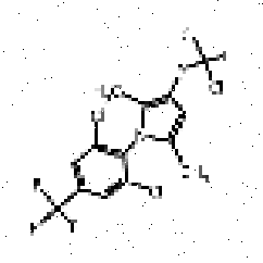 Cc1cc(SC(F)(Cl)Cl)c(C)n1-c1c(Cl)cc(C(F)(F)F)cc1Cl